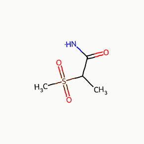 CC(C([NH])=O)S(C)(=O)=O